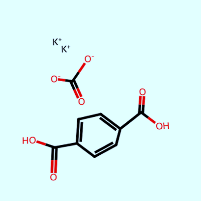 O=C(O)c1ccc(C(=O)O)cc1.O=C([O-])[O-].[K+].[K+]